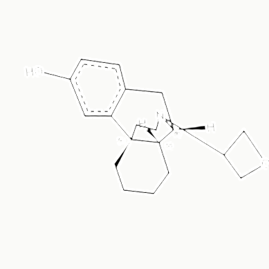 Oc1ccc2c(c1)[C@@]13CCCC[C@H]1[C@@H](C2)N(C1COC1)CC3